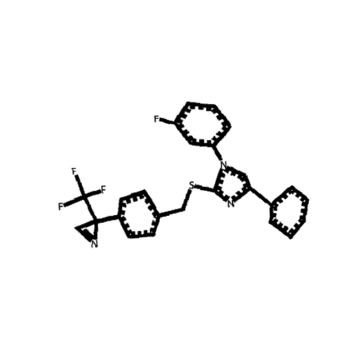 Fc1cccc(-n2cc(-c3ccccc3)nc2SCc2ccc(C3(C(F)(F)F)C=N3)cc2)c1